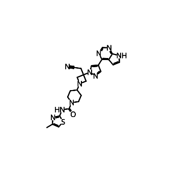 Cc1csc(NC(=O)N2CCC(N3CC(CC#N)(n4cc(-c5ncnc6[nH]ccc56)cn4)C3)CC2)n1